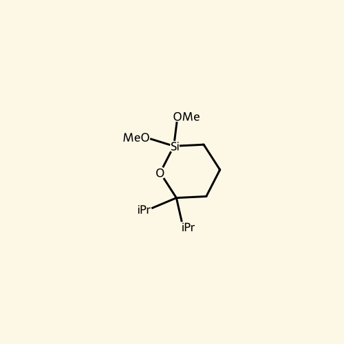 CO[Si]1(OC)CCCC(C(C)C)(C(C)C)O1